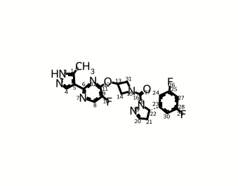 Cc1[nH]ncc1-c1ncc(F)c(OC2CN(C(=O)N3N=CC[C@H]3c3cc(F)cc(F)c3)C2)n1